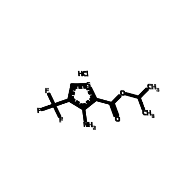 CC(C)OC(=O)c1scc(C(F)(F)F)c1N.Cl